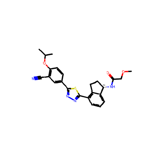 COCC(=O)N[C@H]1CCc2c(-c3nnc(-c4ccc(OC(C)C)c(C#N)c4)s3)cccc21